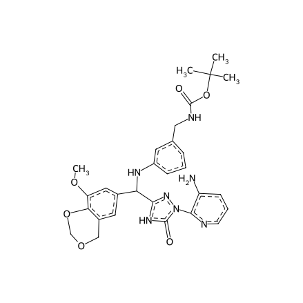 COc1cc(C(Nc2cccc(CNC(=O)OC(C)(C)C)c2)c2nn(-c3ncccc3N)c(=O)[nH]2)cc2c1OCOC2